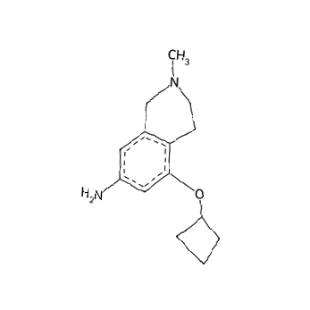 CN1CCc2c(cc(N)cc2OC2CCC2)C1